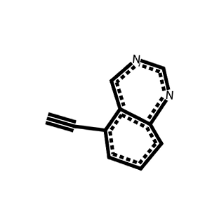 C#Cc1cccc2ncncc12